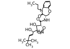 CCCN1C(=O)[C@@H](NC(=O)[C@H](OC)[C@H](O)[C@@H](O)[C@H](O)C=CC(C)(C)C)COc2ccccc21